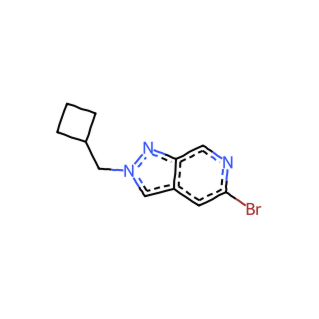 Brc1cc2cn(CC3CCC3)nc2cn1